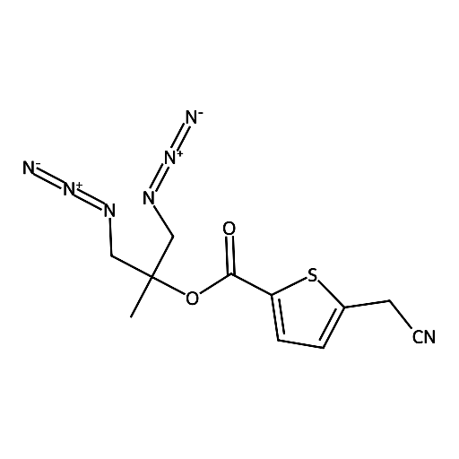 CC(CN=[N+]=[N-])(CN=[N+]=[N-])OC(=O)c1ccc(CC#N)s1